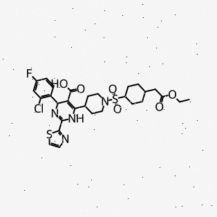 CCOC(=O)CC1CCC(S(=O)(=O)N2CCC(C3=C(C(=O)O)C(c4ccc(F)cc4Cl)N=C(c4nccs4)N3)CC2)CC1